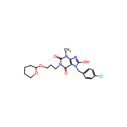 Cn1c(=O)n(CCCOC2CCCCO2)c(=O)c2c1nc(O)n2Cc1ccc(Cl)cc1